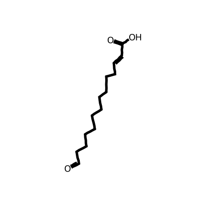 O=CCCCCCCCCCCC=CC(=O)O